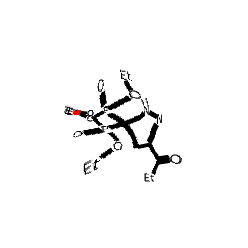 CCOP(=O)(OCC)C1(P(=O)(OCC)OCC)CC(C(=O)CC)=NN1